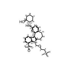 C[Si](C)(C)CCOCn1c2c(c3cccc(P(C)(C)=O)c31)-c1nc(N[C@H]3CCCC[C@@H]3O)ncc1CCC2